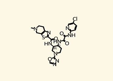 CN1CCc2nc(C(=O)N[C@@H]3CN(c4nnco4)CC[C@@H]3NC(=O)C(=O)Nc3ccc(Cl)cn3)sc2C1